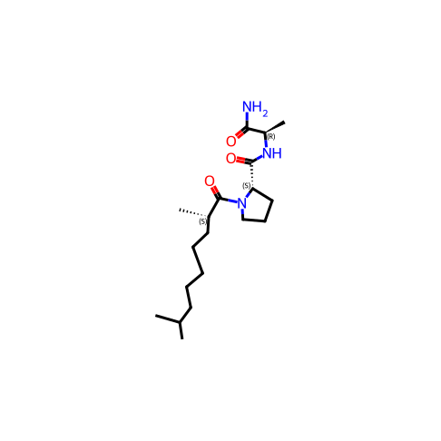 CC(C)CCCCC[C@H](C)C(=O)N1CCC[C@H]1C(=O)N[C@H](C)C(N)=O